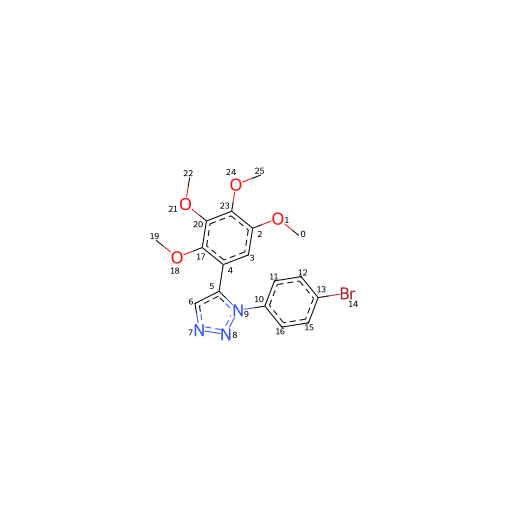 COc1cc(-c2cnnn2-c2ccc(Br)cc2)c(OC)c(OC)c1OC